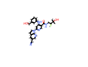 CC(C)(O)C(F)CNC(=O)c1cnc(-n2ccc3cc(C#N)cnc32)cc1Nc1cccc(CO)c1